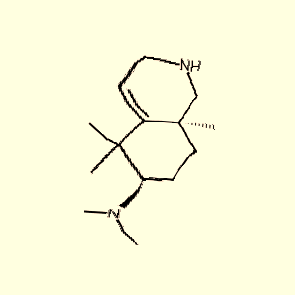 CN(C)[C@@H]1CC[C@]2(C)CNCC=C2C1(C)C